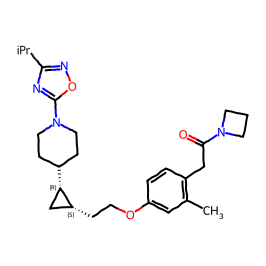 Cc1cc(OCC[C@@H]2C[C@@H]2C2CCN(c3nc(C(C)C)no3)CC2)ccc1CC(=O)N1CCC1